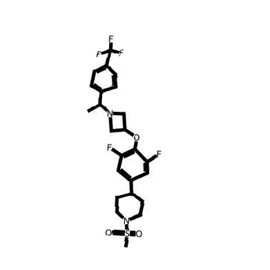 CC(c1ccc(C(F)(F)F)cc1)N1CC(Oc2c(F)cc(C3CCN(S(C)(=O)=O)CC3)cc2F)C1